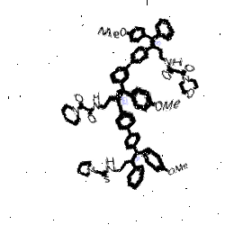 COc1ccc(/C(=C(/CCNC(=O)C(=O)N2CCOCC2)c2ccc(-c3cccc(/C(=C(\CCNC(=O)C(=O)N4CCCCC4)c4ccc(-c5ccc(/C(=C(\CCNC(=S)N6CCCC6)c6ccccc6)c6ccc(OC)cc6)cc5)cc4)c4ccc(OC)cc4)c3)cc2)c2ccccc2)cc1